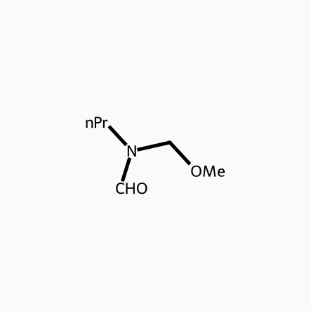 CCCN(C=O)COC